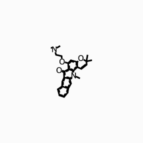 CN(C)CCOc1cc2c(c3c1c(=O)c1cc4ccccc4cc1n3C)C=CC(C)(C)O2